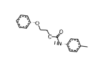 Cc1ccc(NC(=O)OCCOc2ccccc2)cc1